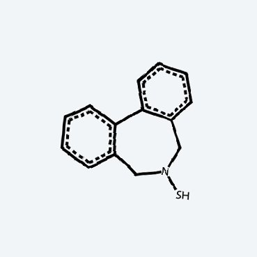 SN1Cc2ccccc2-c2ccccc2C1